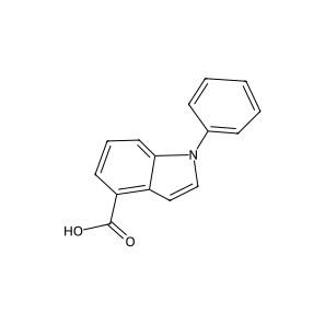 O=C(O)c1cccc2c1ccn2-c1ccccc1